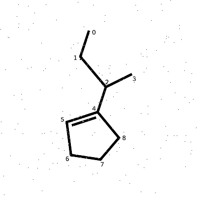 C[CH]C(C)C1=CCCC1